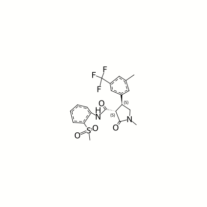 Cc1cc([C@H]2CN(C)C(=O)[C@@H]2C(=O)Nc2ccccc2S(C)(=O)=O)cc(C(F)(F)F)c1